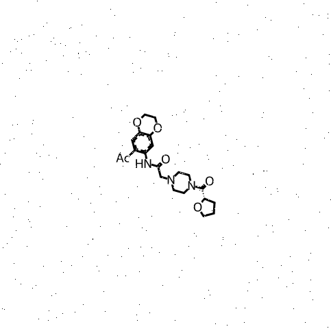 CC(=O)c1cc2c(cc1NC(=O)CN1CCN(C(=O)[C@@H]3CCCO3)CC1)OCCO2